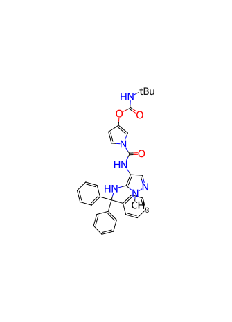 Cn1ncc(NC(=O)n2ccc(OC(=O)NC(C)(C)C)c2)c1NC(c1ccccc1)(c1ccccc1)c1ccccc1